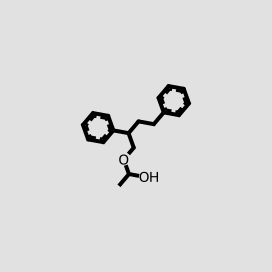 CC(O)OCC(CCc1ccccc1)c1ccccc1